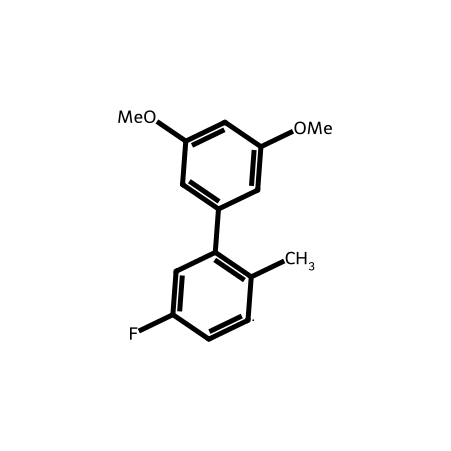 COc1cc(OC)cc(-c2cc(F)c[c]c2C)c1